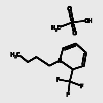 CCCCN1C=CC=CC1C(F)(F)F.CS(=O)(=O)O